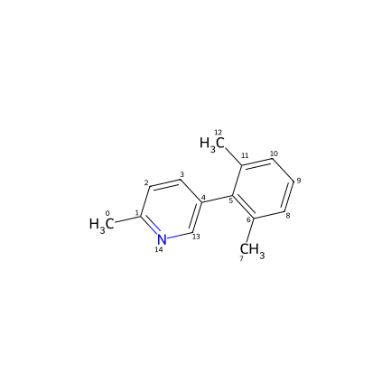 Cc1ccc(-c2c(C)cccc2C)cn1